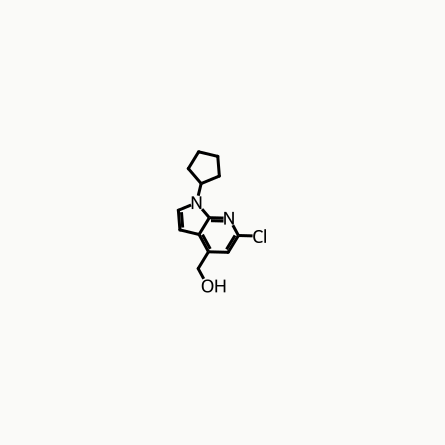 OCc1cc(Cl)nc2c1ccn2C1CCCC1